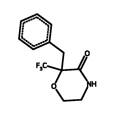 O=C1NCCOC1(Cc1ccccc1)C(F)(F)F